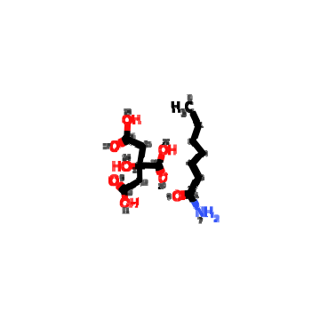 CCCCCCC(N)=O.O=C(O)CC(O)(CC(=O)O)C(=O)O